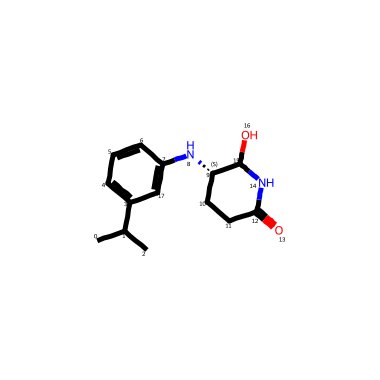 CC(C)c1cccc(N[C@H]2CCC(=O)NC2O)c1